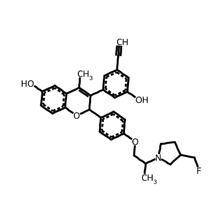 C#Cc1cc(O)cc(C2=C(C)c3cc(O)ccc3OC2c2ccc(OCC(C)N3CCC(CF)C3)cc2)c1